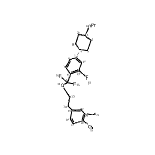 CCC[C@H]1CC[C@H](c2ccc(C(F)(F)OCCc3ccc(C#N)c(F)c3)c(F)c2)CC1